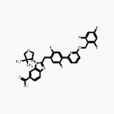 CC1(C)COC[C@H]1n1c(Cc2cc(F)c(-c3cccc(OCc4c(F)cc(F)cc4F)n3)cc2F)nc2ccc(C(=O)O)cc21